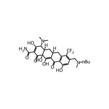 CCCCN(C)Cc1cc(O)c2c(c1C(F)(F)F)C[C@H]1C[C@H]3[C@H](N(C)C)C(O)=C(C(N)=O)C(=O)[C@@]3(O)C(O)=C1C2=O